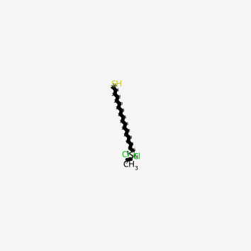 CCC[Si](Cl)(Cl)CCCCCCCCCCCCCCCCCCCCS